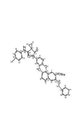 COc1cc2c(Oc3ncc(NC(=O)C4(C(=O)Nc5ccc(F)cc5)CC4)cc3Cl)ccnc2cc1OCc1ccccc1